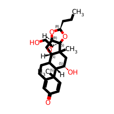 CCC[C@@H]1O[C@@H]2C[C@H]3C4CCC5=CC(=O)C=CC5(C)[C@H]4[C@@H](O)CC3(C)[C@]2(C(=O)CO)O1